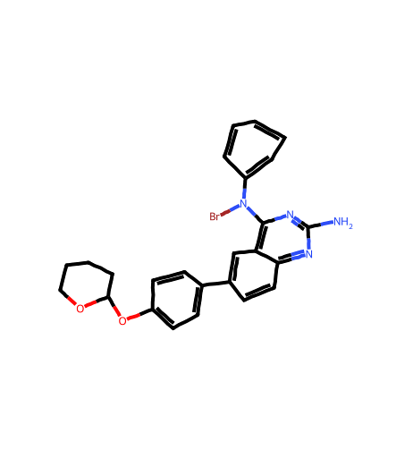 Nc1nc(N(Br)c2ccccc2)c2cc(-c3ccc(OC4CCCCO4)cc3)ccc2n1